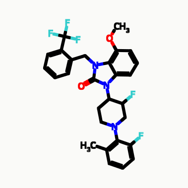 COc1cccc2c1n(Cc1ccccc1C(F)(F)F)c(=O)n2C1CCN(c2c(C)cccc2F)CC1F